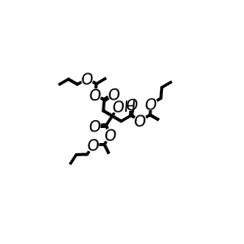 CCCOC(C)OC(=O)CC(O)(CC(=O)OC(C)OCCC)C(=O)OC(C)OCCC